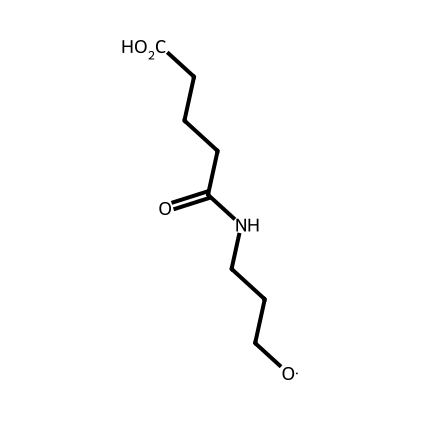 [O]CCCNC(=O)CCCC(=O)O